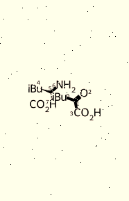 CCC(C)C(=O)C(=O)O.CC[C@H](C)[C@H](N)C(=O)O